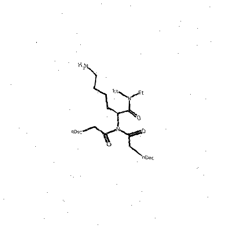 CCCCCCCCCCCC(=O)N(C(=O)CCCCCCCCCCC)[C@@H](CCCCN)C(=O)N(CC)CC